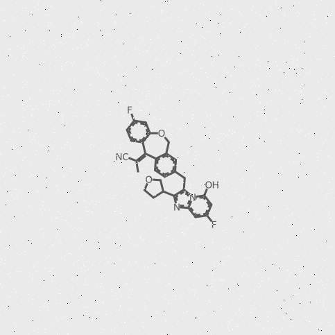 CC(C#N)=C1c2ccc(Cc3c(C4CCOC4)nc4cc(F)cc(O)n34)cc2COc2cc(F)ccc21